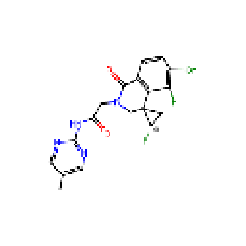 Cc1cnc(NC(=O)CN2CC3(C[C@@H]3F)c3c(ccc(Br)c3F)C2=O)nc1